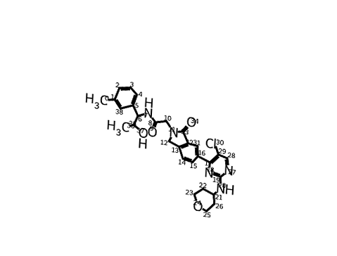 Cc1cccc(C(NC(=O)CN2Cc3ccc(-c4nc(NC5CCOCC5)ncc4Cl)cc3C2=O)C(C)O)c1